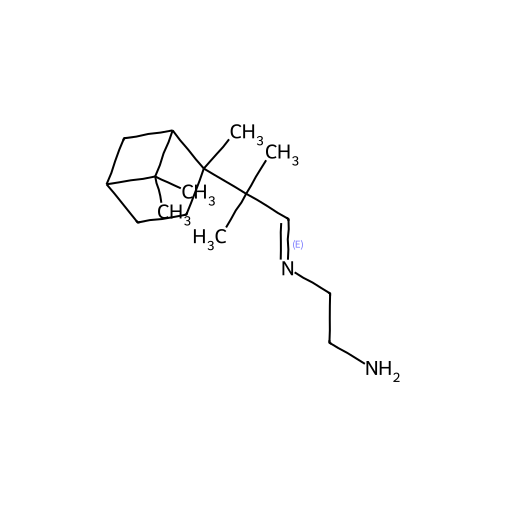 CC1(C)C2CCC(C)(C(C)(C)/C=N/CCN)C1C2